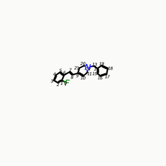 Fc1ccccc1/C=C/C1=CCN(Cc2ccccc2)CC1